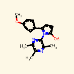 COc1ccc(-c2ccc(O)n2-c2nc(C)c(C)nc2C)cc1